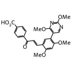 COc1ncc(-c2cc(C=CC(=O)c3ccc(C(=O)O)cc3)c(OC)cc2OC)c(OC)n1